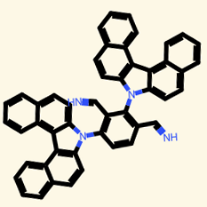 N=Cc1ccc(-n2c3ccc4ccccc4c3c3c4ccccc4ccc32)c(C=N)c1-n1c2ccc3ccccc3c2c2c3ccccc3ccc21